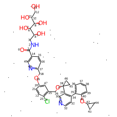 O=C(NC[C@H](O)[C@@H](O)[C@H](O)[C@H](O)CO)c1ccc(COc2ccc(Cl)c(COC3(c4cnccc4-c4ccccc4OC4CC4)CC3)c2)nc1